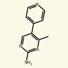 Cc1nc(N)ncc1-c1ccncc1